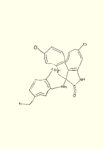 CC(=O)Cc1ccc(C(=O)O)c(NC2(Cc3cccc(Cl)c3)C(=O)Nc3cc(Cl)ccc32)c1